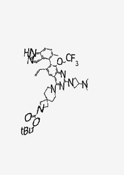 C=Cc1cc2c(N3CCC4(CC3)CN(C(=O)OC(C)(C)C)C4)nc(N3CC(N(C)C)C3)nc2c(OCC(F)(F)F)c1-c1c(C)ccc2[nH]ncc12